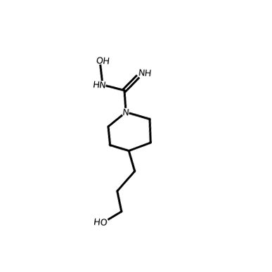 N=C(NO)N1CCC(CCCO)CC1